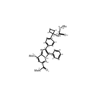 CNC(=O)c1cc(OC)c2nc(-c3ccc(C4(NC(=O)OC(C)(C)C)CCC4)cc3)c(-c3ccccc3)n2n1